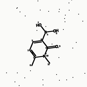 Cc1ccc(B(O)O)c(=O)n1C